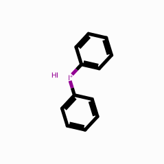 I.c1ccc([I+]c2ccccc2)cc1